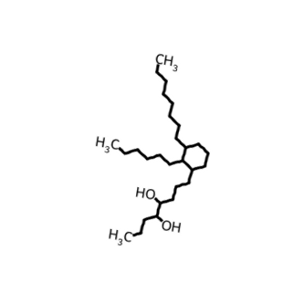 CCCCCCCCC1CCCC(CCCC(O)C(O)CCC)C1CCCCCC